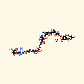 C=C1CC2C=Nc3cc(OCCCC(=O)Nc4cc(C(=O)Nc5cc(C(=O)Nc6cc(C(=O)NCCCOC(=O)[C@H](C)NC(=O)CCOCCOCCNC(=O)CCN7C(=O)CC(S)C7=O)n(C)c6)n(C)c5)n(C)c4)c(OC)cc3C(=O)N2C1